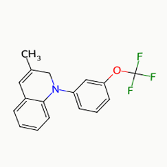 CC1=Cc2ccccc2N(c2cccc(OC(F)(F)F)c2)C1